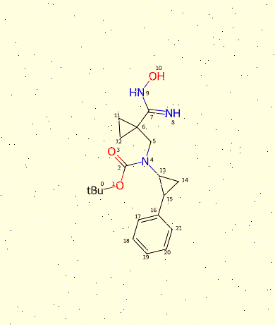 CC(C)(C)OC(=O)N(CC1(C(=N)NO)CC1)C1CC1c1ccccc1